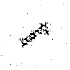 C=N/C(=N\C(NCC(F)(F)F)=C(/C)C(N)=O)Nc1ccc(N[C@@H](CC(C)C)C(N)=O)cc1